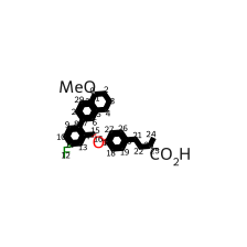 COC1CCCc2cc(-c3ccc(F)cc3COc3ccc(CCC(C)C(=O)O)cc3)ccc21